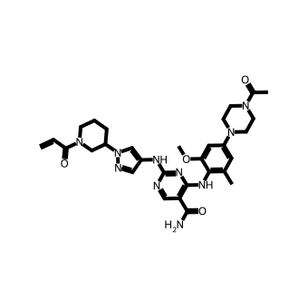 C=CC(=O)N1CCCC(n2cc(Nc3ncc(C(N)=O)c(Nc4c(C)cc(N5CCN(C(C)=O)CC5)cc4OC)n3)cn2)C1